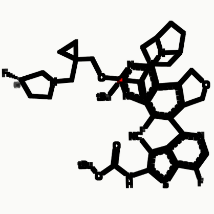 CC(C)(C)OC(=O)Nc1sc2c(F)cnc(-c3c4c(c5c(N6C7CCC6CN(C(=O)OC(C)(C)C)C7)nc(OCC6(CN7CC[C@H](F)C7)CC6)nc5c3F)COC4)c2c1C#N